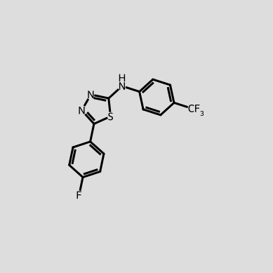 Fc1ccc(-c2nnc(Nc3ccc(C(F)(F)F)cc3)s2)cc1